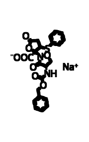 O=C1CC(Sc2ccccc2)C(C(=O)[O-])(N2OC[C@H](NC(=O)OCc3ccccc3)C2=O)O1.[Na+]